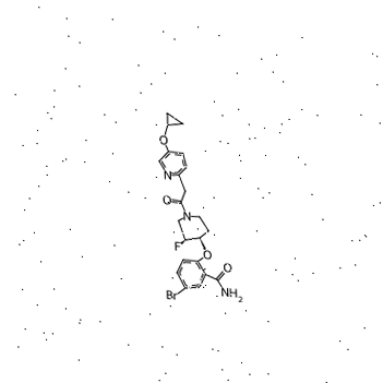 NC(=O)c1cc(Br)ccc1O[C@@H]1CCN(C(=O)Cc2ccc(OC3CC3)cn2)C[C@@H]1F